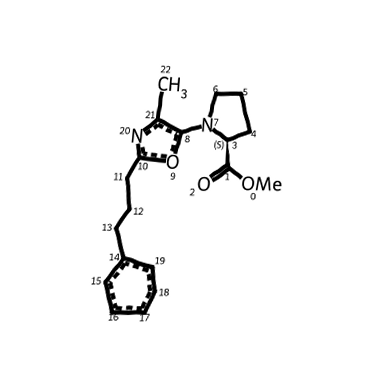 COC(=O)[C@@H]1CCCN1c1oc(CCCc2ccccc2)nc1C